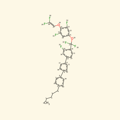 CCCCCc1ccc(-c2ccc(-c3ccc(C(F)(F)Oc4cc(F)c(OC=C(F)F)c(F)c4)c(F)c3)cc2)cc1